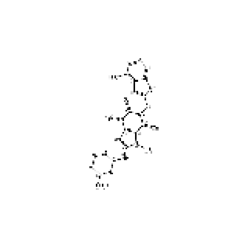 Cc1cccc2[nH]c(Cn3c(=O)c4c(nc(NC5CCCC(C(=O)O)C5)n4C)n(C)c3=O)cc12